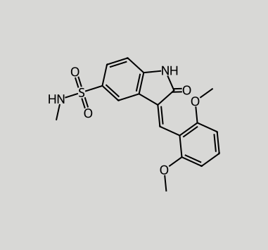 CNS(=O)(=O)c1ccc2c(c1)C(=Cc1c(OC)cccc1OC)C(=O)N2